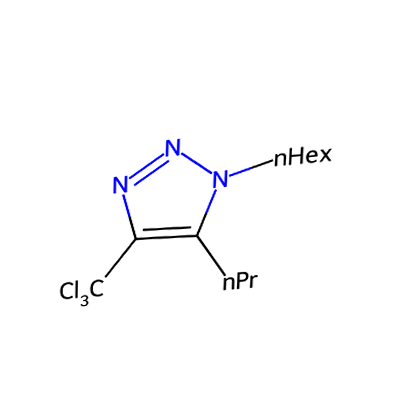 CCCCCCn1nnc(C(Cl)(Cl)Cl)c1CCC